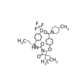 CCC[C@@H](NC(=O)N1C(=O)C(CC)(CC)C1Oc1ccc(C(=O)N2CCC(C)CC2)cc1)c1ccc(OC(F)(F)F)cc1